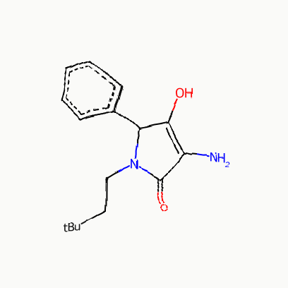 CC(C)(C)CCN1C(=O)C(N)=C(O)C1c1ccccc1